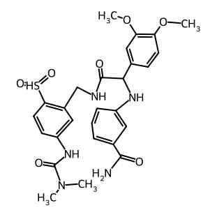 COc1ccc(C(Nc2cccc(C(N)=O)c2)C(=O)NCc2cc(NC(=O)N(C)C)ccc2[SH](=O)=O)cc1OC